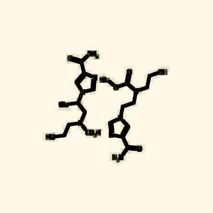 CC(C)(C)C(CN(CCO)C(=O)O)n1cnc(C(N)=O)c1.CC(C)(C)OC(=O)N(CCO)CCn1cnc(C(N)=O)c1